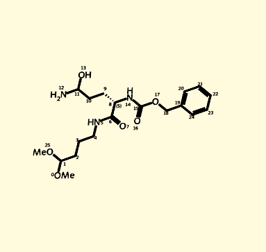 COC(CCCNC(=O)[C@H](CCC(N)O)NC(=O)OCc1ccccc1)OC